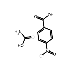 NC(=O)O.O=C(O)c1ccc([N+](=O)[O-])cc1